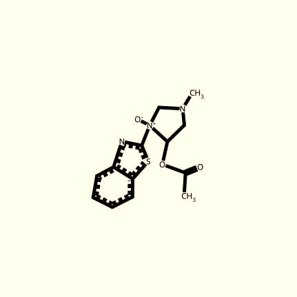 CC(=O)OC1CN(C)C[N+]1([O-])c1nc2ccccc2s1